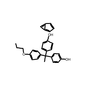 CCCOc1ccc(C(C)(c2ccc(O)cc2)c2ccc(O)cc2)cc1.c1cc2cc-2c1